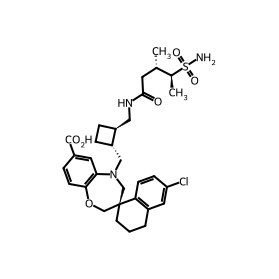 C[C@@H](CC(=O)NC[C@@H]1CC[C@H]1CN1C[C@@]2(CCCc3cc(Cl)ccc32)COc2ccc(C(=O)O)cc21)[C@H](C)S(N)(=O)=O